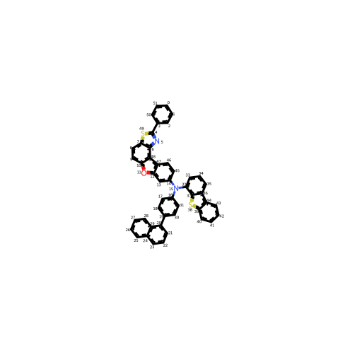 c1ccc(-c2nc3c(ccc4oc5cc(N(c6ccc(-c7cccc8ccccc78)cc6)c6cccc7c6sc6ccccc67)ccc5c43)s2)cc1